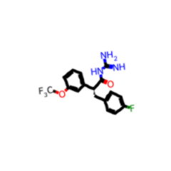 N=C(N)NC(=O)[C@H](Cc1ccc(F)cc1)c1cccc(OC(F)(F)F)c1